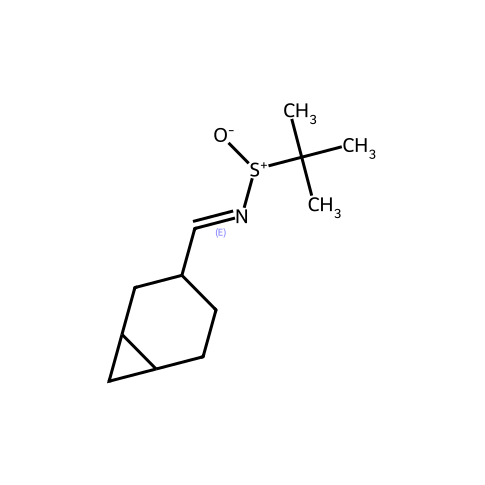 CC(C)(C)[S+]([O-])/N=C/C1CCC2CC2C1